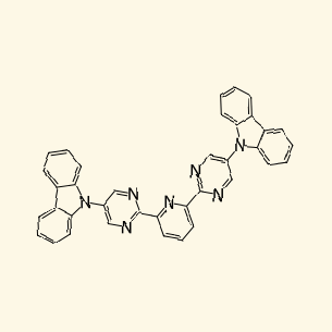 c1cc(-c2ncc(-n3c4ccccc4c4ccccc43)cn2)nc(-c2ncc(-n3c4ccccc4c4ccccc43)cn2)c1